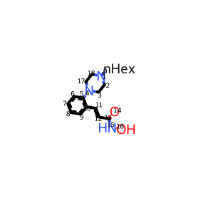 CCCCCCN1CCN(c2ccccc2C=CC(=O)NO)CC1